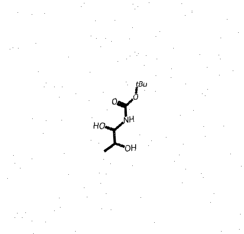 CC(O)C(O)NC(=O)OC(C)(C)C